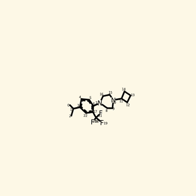 CC(C)c1ccc(N2CCN(C3CCC3)CC2)c(C(F)(F)F)c1